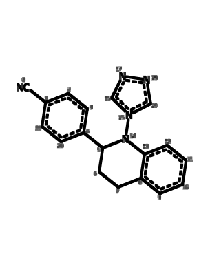 N#Cc1ccc(C2CCc3ccccc3N2n2cnnc2)cc1